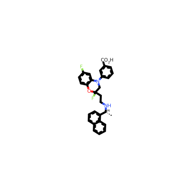 C[C@@H](NCCC1(F)CN(c2cccc(C(=O)O)c2)c2cc(F)ccc2O1)c1cccc2ccccc12